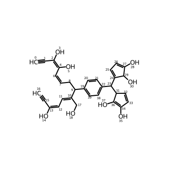 C#C/C(O)=C(O)\C=C/CC(/C(=C/C=C(/O)C#C)CO)c1ccc(C(C2=CC=C(O)C2O)C2C=CC(O)=C2O)cc1